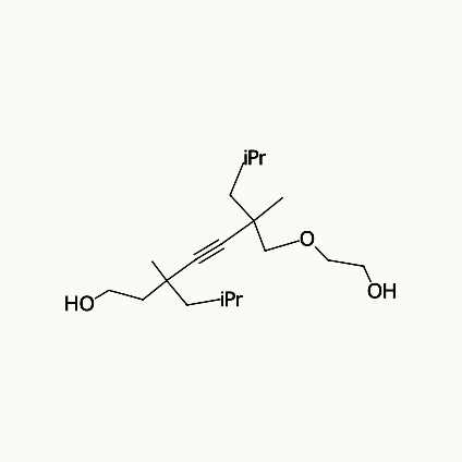 CC(C)CC(C)(C#CC(C)(COCCO)CC(C)C)CCO